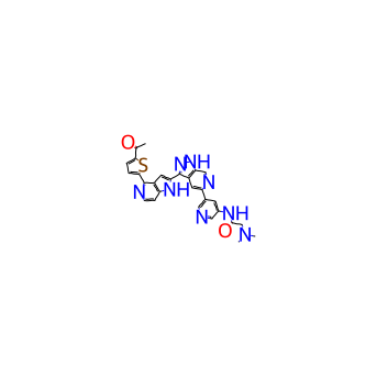 CC(=O)c1ccc(-c2nccc3[nH]c(-c4n[nH]c5cnc(-c6cncc(NC(=O)CN(C)C)c6)cc45)cc23)s1